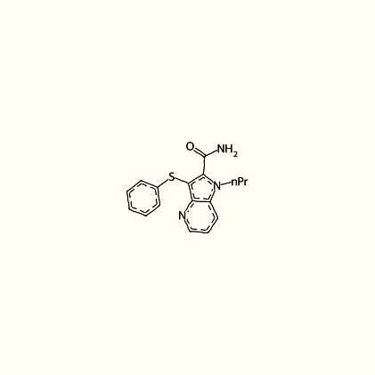 CCCn1c(C(N)=O)c(Sc2ccccc2)c2ncccc21